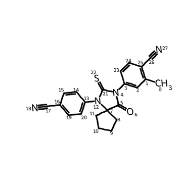 Cc1cc(N2C(=O)C3(CCCC3)N(c3ccc(C#N)cc3)C2=S)ccc1C#N